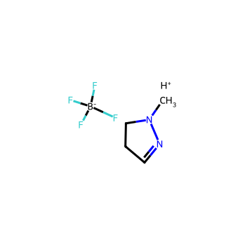 CN1CCC=N1.F[B-](F)(F)F.[H+]